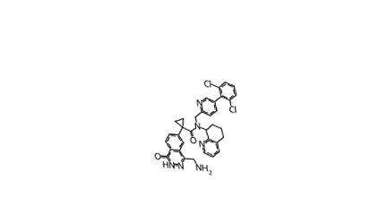 NCc1n[nH]c(=O)c2ccc(C3(C(=O)N(Cc4ccc(-c5c(Cl)cccc5Cl)cn4)C4CCCc5cccnc54)CC3)cc12